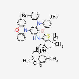 Cc1ccc2c(c1)C(C)(CCC1(C)CCC(C)(C)c3sc4c(c31)Nc1cc(N3c5ccccc5Oc5ccccc53)cc3c1B4c1ccc(C(C)(C)C)cc1N3c1cccc(C(C)(C)C)c1)CCC2(C)C